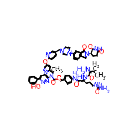 CC(C)[C@H](N)C(=O)N[C@@H](CCCNC(N)=O)C(=O)Nc1ccc(COC(=O)N2C[C@]3(C)C[C@@H](Oc4ccc(CN5CCN(c6ccc7c(c6)C(=O)N([C@H]6CCC(=O)NC6=O)C7)CC5)cn4)CN3c3cc(-c4ccccc4O)nnc32)cc1